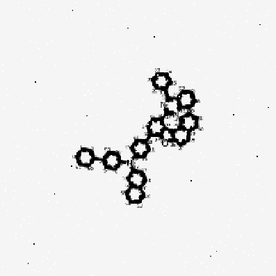 c1ccc(-c2ccc(N(c3ccc(-c4ccc(-c5nc(-c6ccccc6)c6ccccc6n5)c5c4oc4ccc6ccccc6c45)cc3)c3ccc4ccccc4c3)cc2)cc1